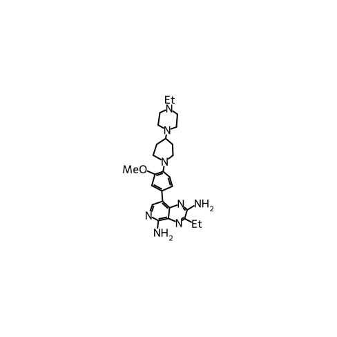 CCc1nc2c(N)ncc(-c3ccc(N4CCC(N5CCN(CC)CC5)CC4)c(OC)c3)c2nc1N